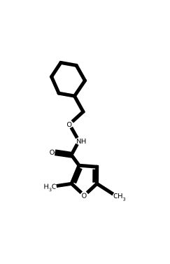 Cc1cc(C(=O)NOCC2CCCCC2)c(C)o1